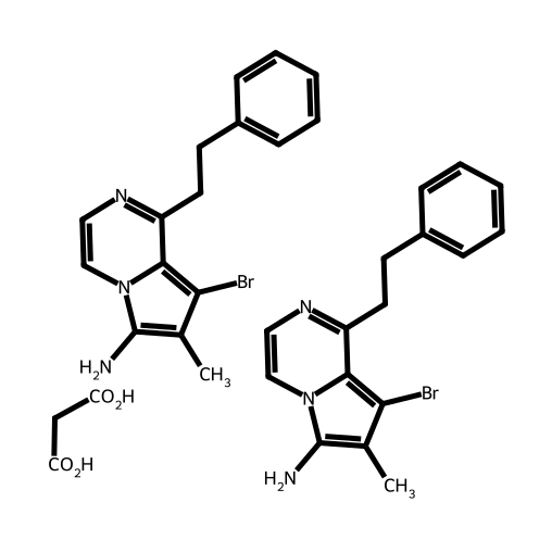 Cc1c(Br)c2c(CCc3ccccc3)nccn2c1N.Cc1c(Br)c2c(CCc3ccccc3)nccn2c1N.O=C(O)CC(=O)O